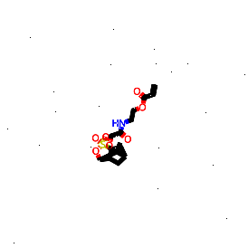 C=CC(=O)OCCNC(=O)COC1(C)C2CC3C1OS(=O)(=O)C3C2